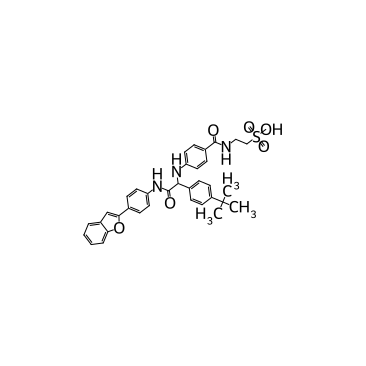 CC(C)(C)c1ccc(C(Nc2ccc(C(=O)NCCS(=O)(=O)O)cc2)C(=O)Nc2ccc(-c3cc4ccccc4o3)cc2)cc1